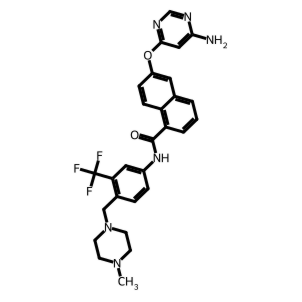 CN1CCN(Cc2ccc(NC(=O)c3cccc4cc(Oc5cc(N)ncn5)ccc34)cc2C(F)(F)F)CC1